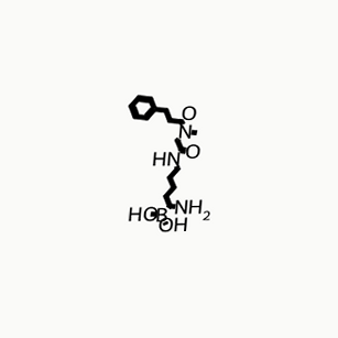 CN(CC(=O)NCCCCC(N)B(O)O)C(=O)CCc1ccccc1